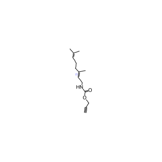 C#CCOC(=O)NC/C=C(\C)CCC=C(C)C